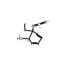 CCC1(N=C=S)C=CC=CC1O